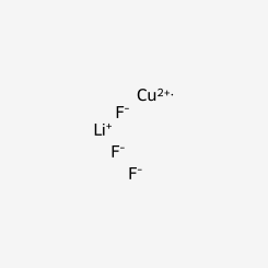 [Cu+2].[F-].[F-].[F-].[Li+]